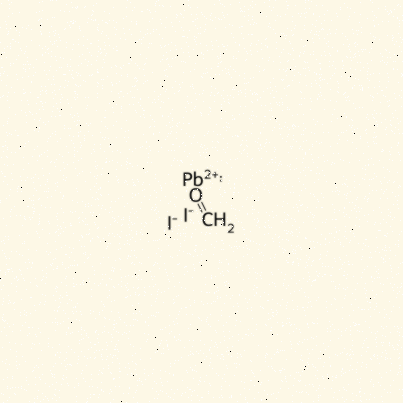 C=O.[I-].[I-].[Pb+2]